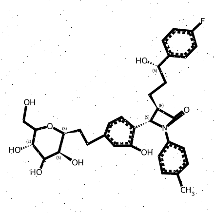 Cc1ccc(N2C(=O)[C@H](CC[C@H](O)c3ccc(F)cc3)[C@H]2c2ccc(CC[C@@H]3OC(CO)[C@@H](O)C(O)[C@@H]3O)cc2O)cc1